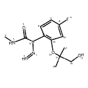 CNC(=O)N(N=N)c1ccc(F)cc1OC(C)(C)CO